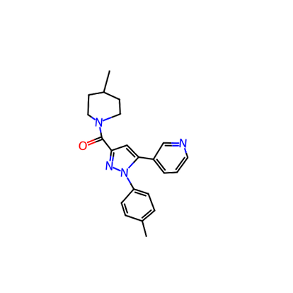 Cc1ccc(-n2nc(C(=O)N3CCC(C)CC3)cc2-c2cccnc2)cc1